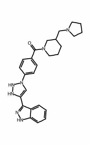 O=C(c1ccc(N2C=C(c3n[nH]c4ccccc34)NN2)cc1)N1CCCC(CN2CCCC2)C1